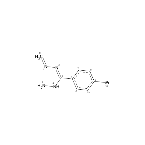 C=N/N=C(\NN)c1ccc(C(C)C)cc1